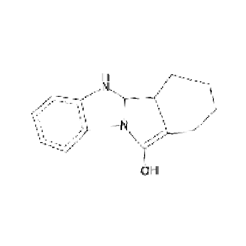 OC1=C2CCCCC2C2Nc3ccccc3N12